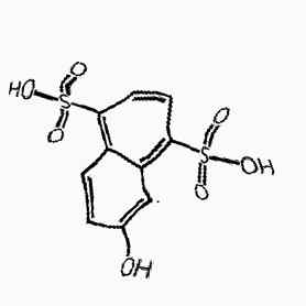 O=S(=O)(O)c1ccc(S(=O)(=O)O)c2ccc(O)[c]c12